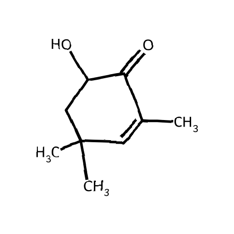 CC1=CC(C)(C)CC(O)C1=O